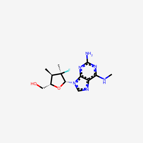 CNc1nc(N)nc2c1ncn2[C@@H]1O[C@H](CO)[C@@H](C)[C@@]1(C)F